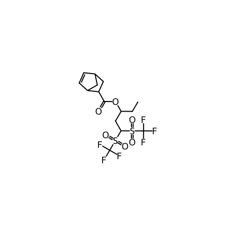 CCC(CC(S(=O)(=O)C(F)(F)F)S(=O)(=O)C(F)(F)F)OC(=O)C1CC2C=CC1C2